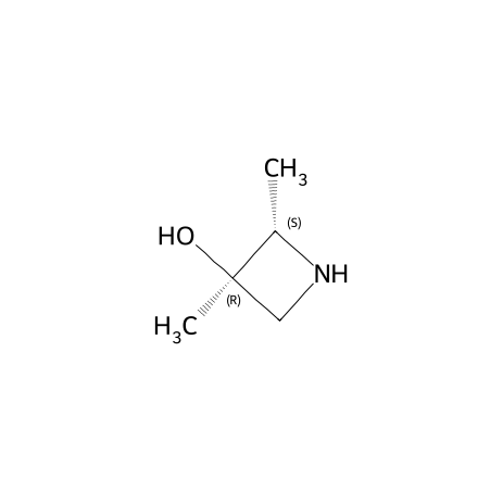 C[C@@H]1NC[C@@]1(C)O